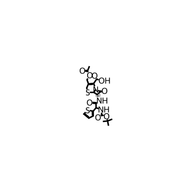 CC(=O)OCC1=C(C(=O)O)N2C(=O)[C@H](NC(=O)C(NC(=O)OC(C)(C)C)c3cccs3)C2SC1